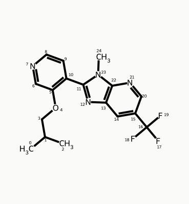 CC(C)COc1cnccc1-c1nc2cc(C(F)(F)F)cnc2n1C